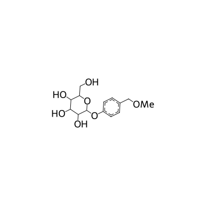 COCc1ccc(OC2OC(CO)C(O)C(O)C2O)cc1